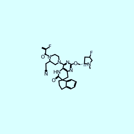 C=C(F)C(=O)N1CCN(c2nc(OC[C@@H]3CC(F)CN3C)nc3c2NC(=O)C2(CCCc4ccccc42)C3)CC1CC#N